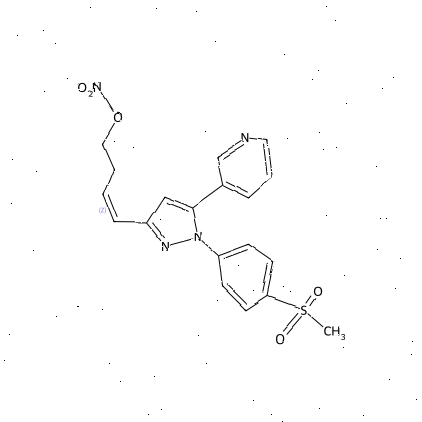 CS(=O)(=O)c1ccc(-n2nc(/C=C\CCO[N+](=O)[O-])cc2-c2cccnc2)cc1